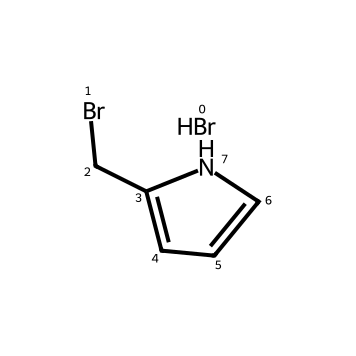 Br.BrCc1ccc[nH]1